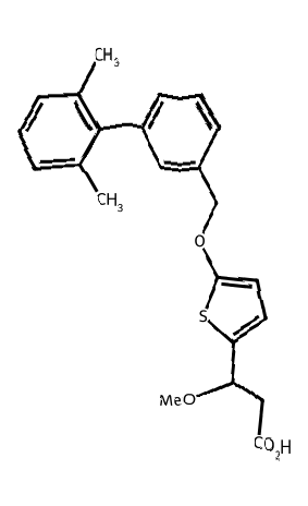 COC(CC(=O)O)c1ccc(OCc2cccc(-c3c(C)cccc3C)c2)s1